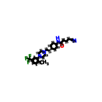 Cc1ccc(C(F)(F)F)cc1N1CCN(CC[C@H]2CC[C@H](NC(=O)CCCC#N)CC2)CC1